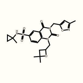 Cc1cc(Cn2c(=O)c3cc(S(=O)(=O)NC4(C)CC4)ccc3n(CC3CC(C)(C)O3)c2=O)on1